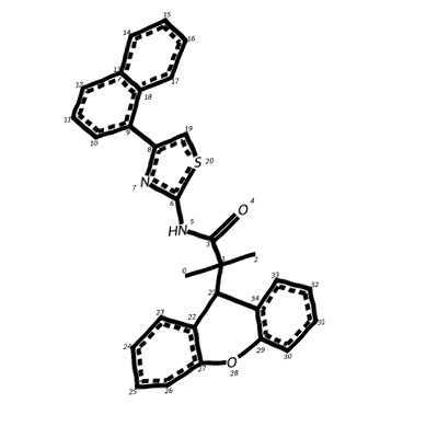 CC(C)(C(=O)Nc1nc(-c2cccc3ccccc23)cs1)C1c2ccccc2Oc2ccccc21